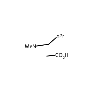 CC(=O)O.CCCCNC